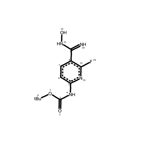 CC(C)(C)OC(=O)Nc1ccc(C(=N)NO)c(F)n1